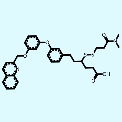 CN(C)C(=O)CCSSC(CCC(=O)O)CCc1cccc(Oc2cccc(OCc3ccc4ccccc4n3)c2)c1